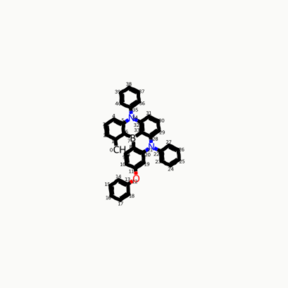 CC1C=CC=C2C1B1c3ccc(Oc4ccccc4)cc3N(c3ccccc3)c3cccc(c31)N2c1ccccc1